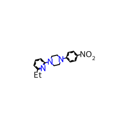 CCc1cccc(N2CCN(c3ccc([N+](=O)[O-])cc3)CC2)n1